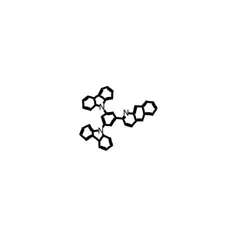 C1=CC2c3ccccc3N(c3cc(-c4ccc5cc6ccccc6cc5n4)cc(N4c5ccccc5C5C=CC=CC54)c3)C2C=C1